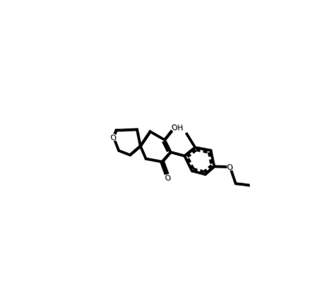 CCOc1ccc(C2=C(O)CC3(CCOCC3)CC2=O)c(C)c1